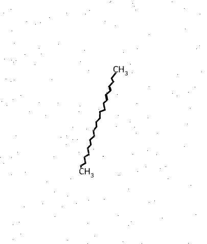 CCCCC=CC=CCCCCCCCCCCCCCCCC